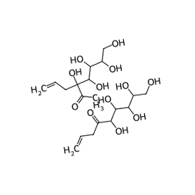 C=CCC(=O)C(O)C(O)C(O)C(O)CO.C=CCC(O)(C(C)=O)C(O)C(O)C(O)CO